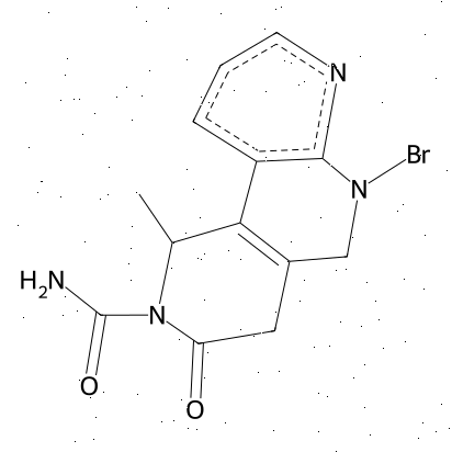 CC1C2=C(CC(=O)N1C(N)=O)CN(Br)c1ncccc12